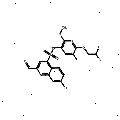 COc1nc(OCC(F)F)c(F)cc1NS(=O)(=O)c1cc(C=O)nc2cc(Cl)ccc12